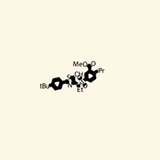 CCN(c1nc(-c2ccc(C(C)(C)C)cc2)sc1C)S(=O)(=O)c1ccc(C(C)C)c(C(=O)OC)c1